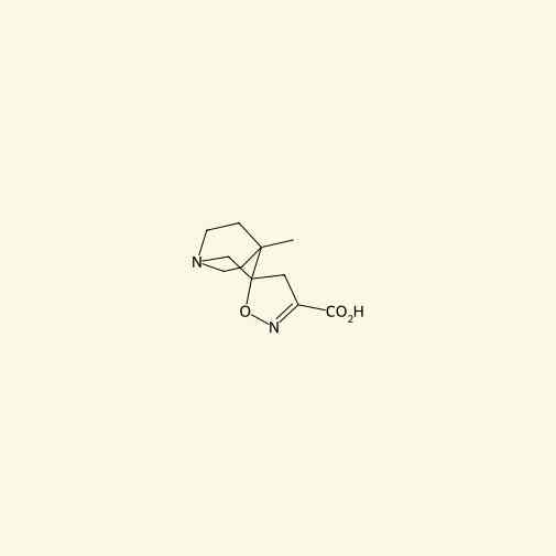 CC12CCN(CC1)CC21CC(C(=O)O)=NO1